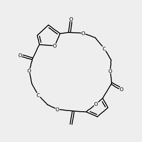 C=C1OCCCOC(=O)c2ccc(o2)C(=O)OCCCOC(=O)c2ccc1o2